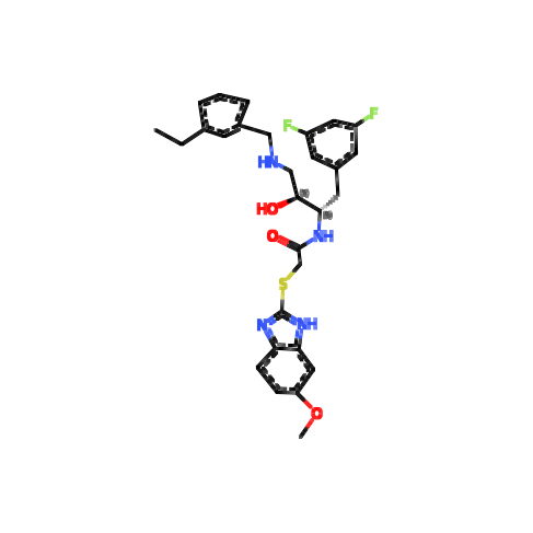 CCc1cccc(CNC[C@H](O)[C@H](Cc2cc(F)cc(F)c2)NC(=O)CSc2nc3ccc(OC)cc3[nH]2)c1